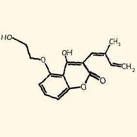 C=CC(C)=Cc1c(O)c2c(OCCO)cccc2oc1=O